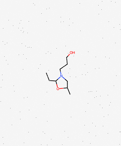 CCC1OC(C)CN1CCCO